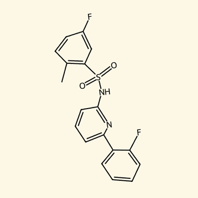 Cc1ccc(F)cc1S(=O)(=O)Nc1cccc(-c2ccccc2F)n1